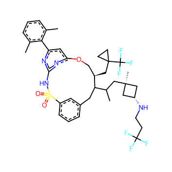 Cc1cccc(C)c1-c1cc2nc(n1)NS(=O)(=O)c1cccc(c1)CC(C(C)C[C@]1(C)C[C@@H](NCCC(F)(F)F)C1)[C@H](CC1(C(F)(F)F)CC1)CO2